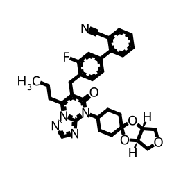 CCCc1c(Cc2ccc(-c3ccccc3C#N)cc2F)c(=O)n(C2CCC3(CC2)O[C@@H]2COC[C@H]2O3)c2ncnn12